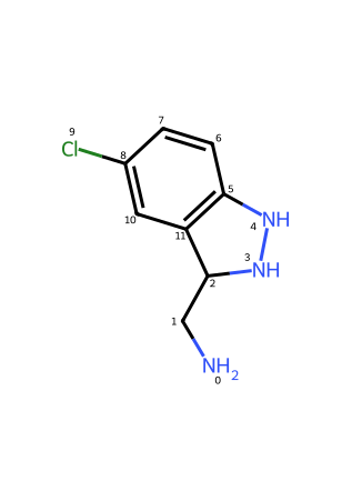 NCC1NNc2ccc(Cl)cc21